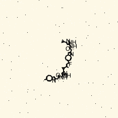 CC1=C/CCC2C=C([C@@H](C)C(=O)Nc3cc(C4CC4/C(C)=C/C(F)C4=C/CCC5C=C([C@@H](C)C(=O)Nc6cc(C7CC7)n[nH]6)N=C5/C=C\4)n[nH]3)N=C2/C=C\1